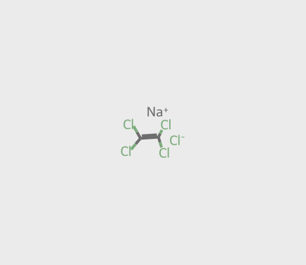 ClC(Cl)=C(Cl)Cl.[Cl-].[Na+]